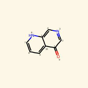 O=c1cncc2[nH]cccc1-2